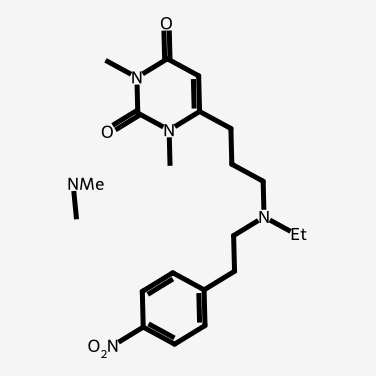 CCN(CCCc1cc(=O)n(C)c(=O)n1C)CCc1ccc([N+](=O)[O-])cc1.CNC